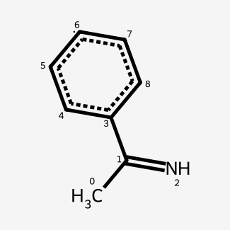 CC(=N)c1cc[c]cc1